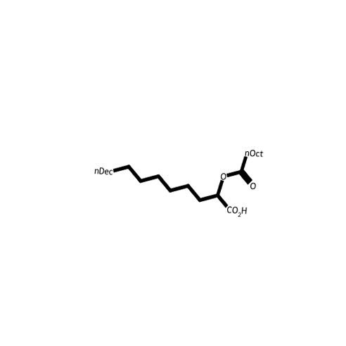 CCCCCCCCCCCCCCCCC(OC(=O)CCCCCCCC)C(=O)O